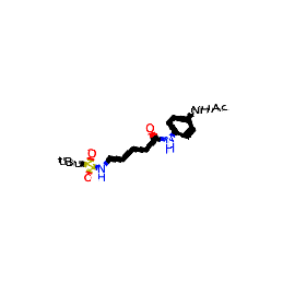 CC(=O)Nc1ccc(NC(=O)CCCCNS(=O)(=O)C(C)(C)C)cc1